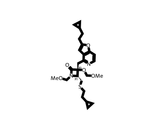 COCO[C@@]1(Cc2nccc3oc(CCC4CC4)cc23)C(=O)N(COC)[C@H]1CSCCC1CC1